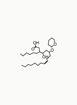 CCCCCCC/C=C\CCC(CC(O)C(CCCCCC)CC(=O)O)O[C@@H]1CCCCO1